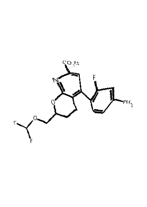 CCOC(=O)c1cc(-c2ccc(P)cc2F)c2c(n1)OC(COC(F)F)CC2